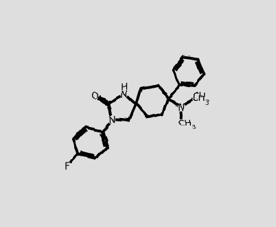 CN(C)C1(c2ccccc2)CCC2(CC1)CN(c1ccc(F)cc1)C(=O)N2